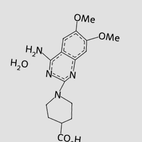 COc1cc2nc(N3CCC(C(=O)O)CC3)nc(N)c2cc1OC.O